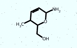 CC1C=CC(N)OC1CO